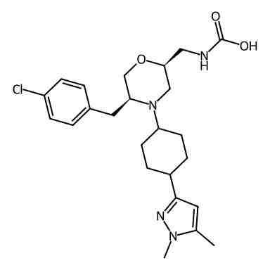 Cc1cc(C2CCC(N3C[C@H](CNC(=O)O)OC[C@@H]3Cc3ccc(Cl)cc3)CC2)nn1C